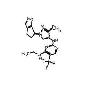 CCNc1nc(Nc2cn(C3CCc4cnoc43)nc2C)ncc1C(F)(F)F